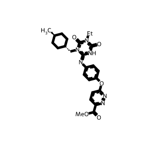 CCn1c(=O)[nH]/c(=N\c2ccc(Oc3ccc(C(=O)OC)nn3)cc2)n(C[C@H]2CC[C@H](C)CC2)c1=O